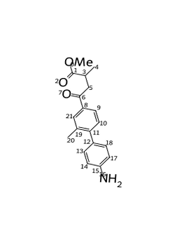 COC(=O)C(C)CC(=O)c1ccc(-c2ccc(N)cc2)c(C)c1